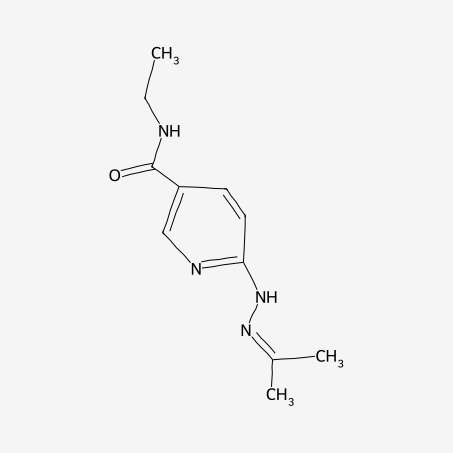 CCNC(=O)c1ccc(NN=C(C)C)nc1